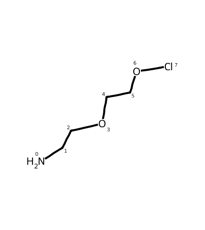 NCCOCCOCl